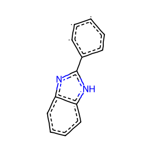 [c]1[c]ccc(-c2nc3ccccc3[nH]2)[c]1